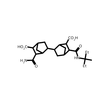 CCC(C)(CC)NC(=O)C1C2CC(C3CC4CC3C(C(N)=O)C4C(=O)O)C(C2)C1C(=O)O